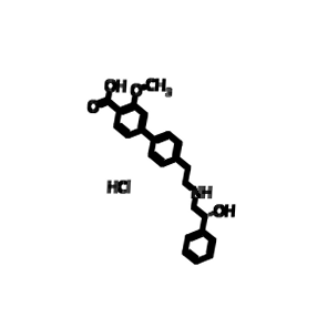 COc1cc(-c2ccc(CCNC[C@H](O)c3ccccc3)cc2)ccc1C(=O)O.Cl